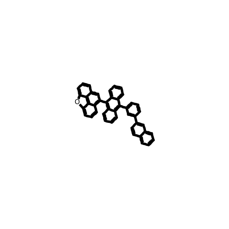 c1cc(-c2ccc3ccccc3c2)cc(-c2c3ccccc3c(-c3cc4cccc5oc6cccc3c6c45)c3ccccc23)c1